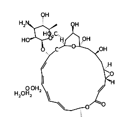 C[C@@H]1C/C=C/C=C/C=C/C=C/[C@H](O[C@@H]2O[C@H](C)[C@@H](O)[C@H](N)[C@@H]2O)C[C@@H]2O[C@](O)(C[C@@H](O)C[C@H]3O[C@@H]3/C=C/C(=O)O1)C[C@H](O)[C@H]2C(=O)O.O.O.O